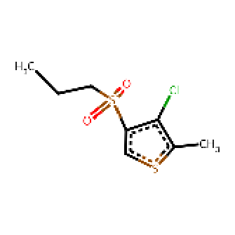 CCCS(=O)(=O)c1csc(C)c1Cl